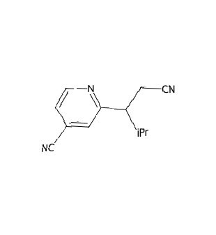 CC(C)C(CC#N)c1cc(C#N)ccn1